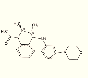 CC(=O)N1c2ccccc2C(Nc2cccc(N3CCOCC3)c2)[C@@H](C)[C@@H]1C